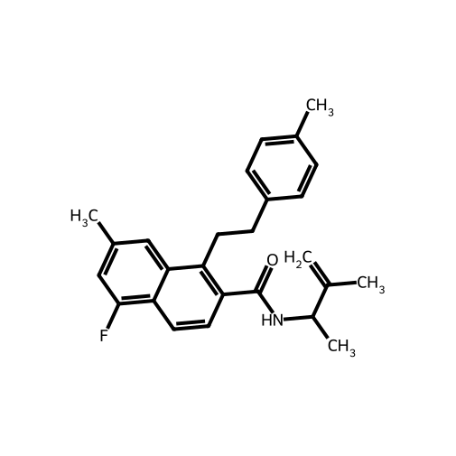 C=C(C)C(C)NC(=O)c1ccc2c(F)cc(C)cc2c1CCc1ccc(C)cc1